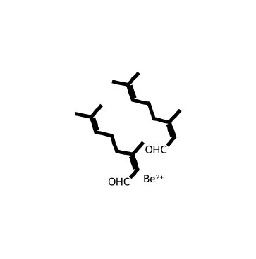 CC(C)=CCC/C(C)=C\C=O.CC(C)=CCC/C(C)=C\C=O.[Be+2]